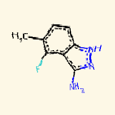 Cc1ccc2[nH]nc(N)c2c1F